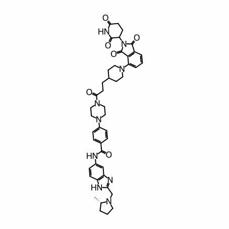 C[C@H]1CCCN1Cc1nc2cc(NC(=O)c3ccc(N4CCN(C(=O)CCC5CCN(c6cccc7c6C(=O)N(C6CCC(=O)NC6=O)C7=O)CC5)CC4)cc3)ccc2[nH]1